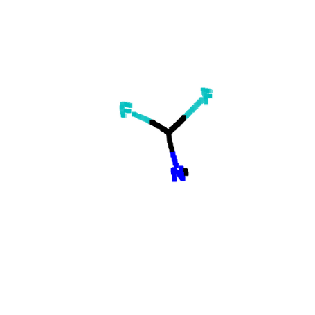 [N]C(F)F